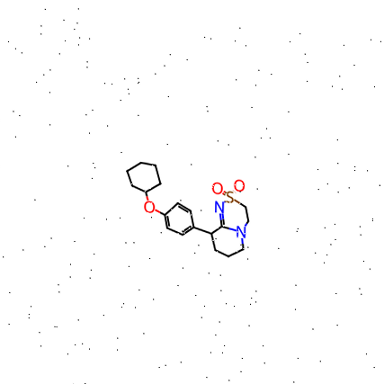 O=S1(=O)CCN2CCCC(c3ccc(OC4CCCCC4)cc3)C2=N1